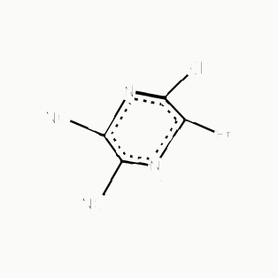 CCc1nc(C#N)c(C#N)nc1Cl